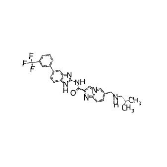 CC(C)CNCc1ccc2nc(C(=O)Nc3nc4cc(-c5cccc(C(F)(F)F)c5)ccc4[nH]3)cn2c1